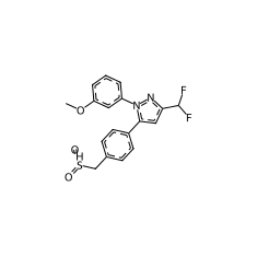 COc1cccc(-n2nc(C(F)F)cc2-c2ccc(C[SH](=O)=O)cc2)c1